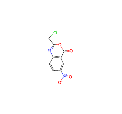 O=c1oc(CCl)nc2ccc([N+](=O)[O-])cc12